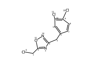 ClCc1nc(Cc2ccc(Cl)c(Cl)c2)no1